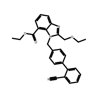 CCOCc1nc2cccc(C(=O)OCC)c2n1Cc1ccc(-c2ccccc2C#N)cc1